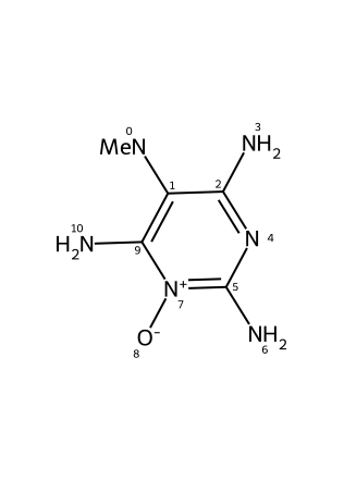 CNc1c(N)nc(N)[n+]([O-])c1N